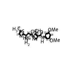 COc1cc(NC(=O)c2cnn(C(C)(C)CC(N)c3ncc(C)s3)c2C)cc(OC)c1